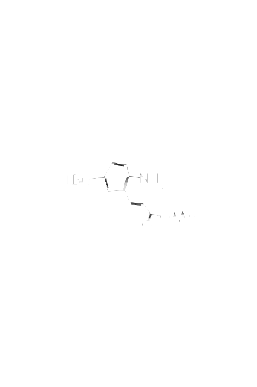 COC(=O)/C=C/c1cc(C(C)(C)C)ccc1N